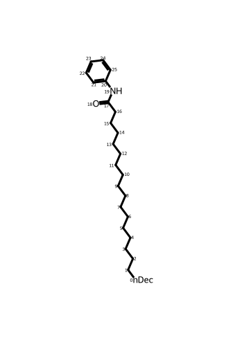 CCCCCCCCCCCCCCCCCCCCCCCCCCC(=O)Nc1ccccc1